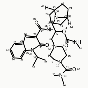 CNC(=O)OC(CN1CCN(C(=O)N(C)C)CC1)CN1[C@@H]2CC[C@H]1C[C@@H](NC(=O)c1cc3ccccc3n(C(C)C)c1=O)C2